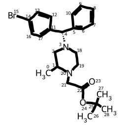 CC1CN([C@@H](c2ccccc2)c2ccc(Br)cc2)CCN1CC(=O)OC(C)(C)C